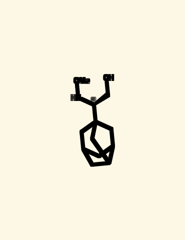 CON[C@@H](CO)C12CC3CC(C1)C(C3)C2